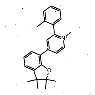 Cc1ccccc1-c1cc(-c2cccc3c2OC(C)(C)C3(C)C)cc[n+]1C